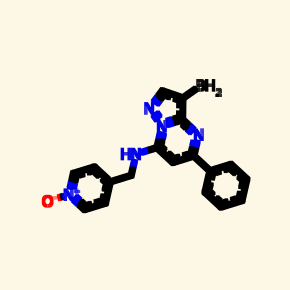 Bc1cnn2c(NCc3cc[n+]([O-])cc3)cc(-c3ccccc3)nc12